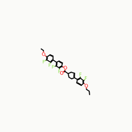 CCCOc1ccc(C2=CCC(C(=O)Oc3ccc(-c4ccc(OCC)c(F)c4F)c(F)c3F)CC2)c(F)c1F